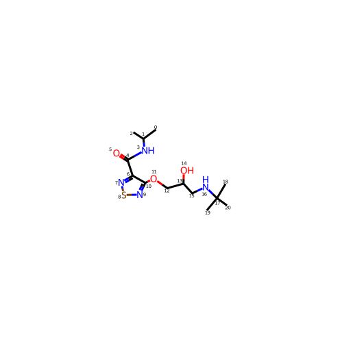 CC(C)NC(=O)c1nsnc1OCC(O)CNC(C)(C)C